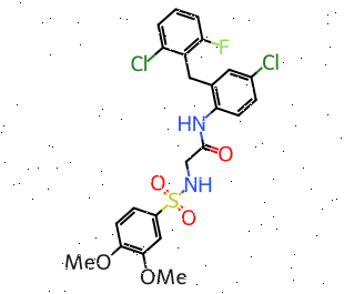 COc1ccc(S(=O)(=O)NCC(=O)Nc2ccc(Cl)cc2Cc2c(F)cccc2Cl)cc1OC